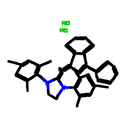 Cc1cc(C)c(N2CCN(c3c(C)cc(C)cc3C)[C]2=[Ru]=[C]2C=C(c3ccccc3)c3ccccc32)c(C)c1.Cl.Cl